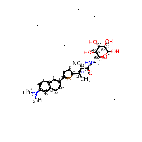 CCCN(CCC)c1ccc2cc(-c3ccc(/C(C)=C(\C#N)C(=O)NC[C@H]4OC(O)[C@H](O)[C@@H](O)[C@@H]4O)s3)ccc2c1